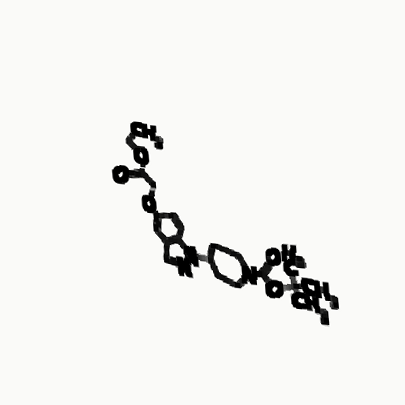 CCOC(=O)COc1ccc2c(cnn2C2CCN(C(=O)OC(C)(C)C)CC2)c1